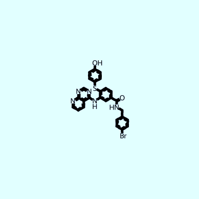 O=C(NCc1ccc(Br)cc1)c1ccc(Sc2ccc(O)cc2)c(Nc2ncnc3ncccc23)c1